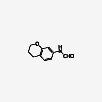 O=CNc1ccc2c(c1)OCCC2